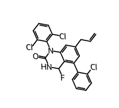 C=CCc1cc(-c2ccccc2Cl)c2c(c1)N(c1c(Cl)cccc1Cl)C(=O)NC2F